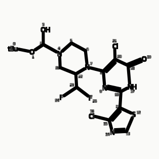 CC(C)(C)OC(O)N1CCN(c2nc(-c3scnc3Cl)[nH]c(=O)c2Cl)C(C(F)F)C1